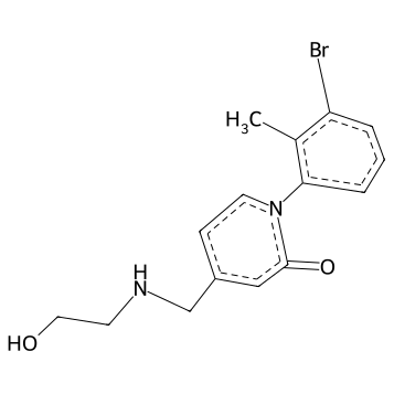 Cc1c(Br)cccc1-n1ccc(CNCCO)cc1=O